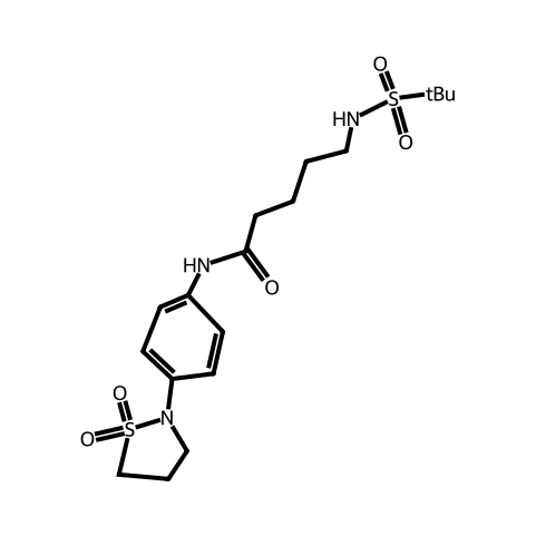 CC(C)(C)S(=O)(=O)NCCCCC(=O)Nc1ccc(N2CCCS2(=O)=O)cc1